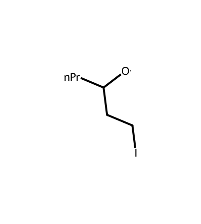 CCCC([O])CCI